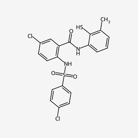 Cc1cccc(NC(=O)c2cc(Cl)ccc2NS(=O)(=O)c2ccc(Cl)cc2)c1S